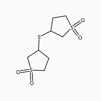 O=S1(=O)CCC(SC2CCS(=O)(=O)C2)C1